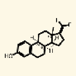 C[C@]12CC[C@@H]3c4ccc(O)cc4CC[C@@H]3[C@@H]1CCC2=C(F)F